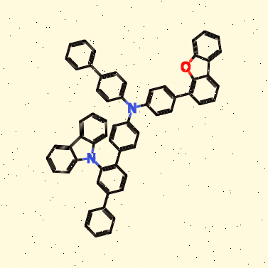 c1ccc(-c2ccc(N(c3ccc(-c4ccc(-c5ccccc5)cc4-n4c5ccccc5c5ccccc54)cc3)c3ccc(-c4cccc5c4oc4ccccc45)cc3)cc2)cc1